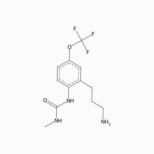 CNC(=O)Nc1ccc(OC(F)(F)F)cc1CCCN